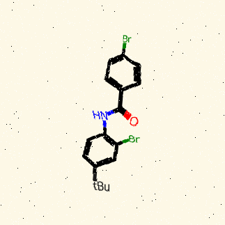 CC(C)(C)c1ccc(NC(=O)c2ccc(Br)cc2)c(Br)c1